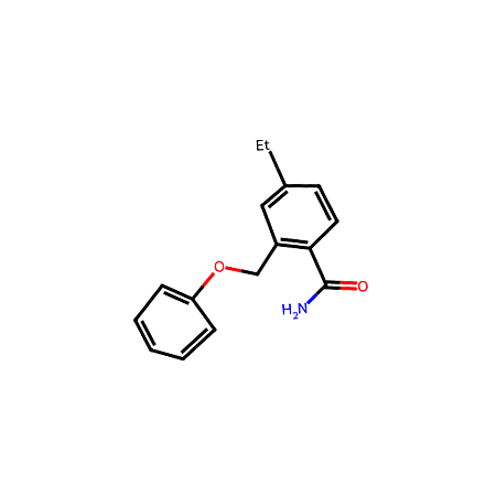 CCc1ccc(C(N)=O)c(COc2ccccc2)c1